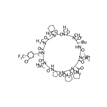 CC[C@H](C)[C@@H]1NC(=O)[C@H](CC(C)C)N(C)C(=O)C[C@@H](C(=O)N2CCCCC2)N(C)C(=O)[C@H](C2CCCCC2)N(C)C(=O)C2(CCCC2)NC(=O)[C@H](CC2CC2)N(C)C(=O)[C@H](CCc2ccc(C(F)(F)F)c(Cl)c2)NC(=O)CN(C)C(=O)[C@H](CC2CCCCC2)N(C)C(=O)CN(C)C(=O)CN(C)C1=O